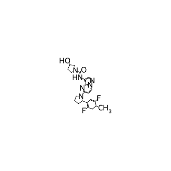 CC1CC(F)=C(C2CCCN2c2ccn3ncc(NC(=O)N4CCC(O)C4)c3n2)C=C1F